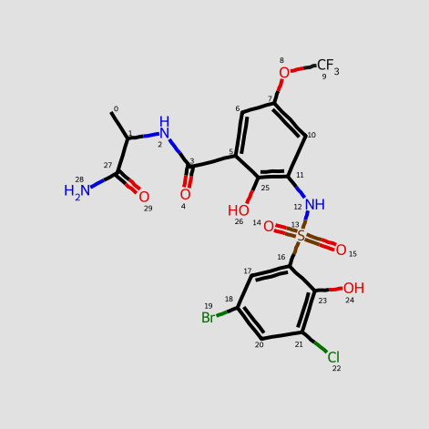 CC(NC(=O)c1cc(OC(F)(F)F)cc(NS(=O)(=O)c2cc(Br)cc(Cl)c2O)c1O)C(N)=O